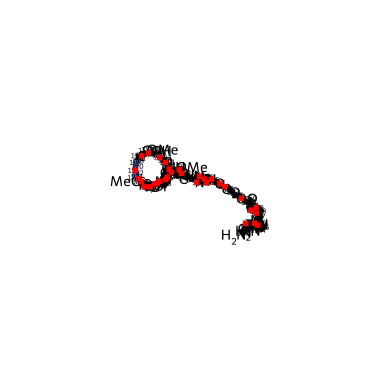 CO[C@H]1C[C@@H]2CC[C@@H](C)[C@@](O)(O2)C(=O)C(=O)N2CCCC[C@H]2C(=O)O[C@H]([C@H](N)C[C@@H]2CC[C@@H](OC(=O)NCc3cnc(N4CCN(CCOCCOCCOCCOCCC(=O)N5CCc6cc(Cn7nc(-c8ccc9oc(N)nc9c8)c8c(N)ccnc87)ccc6C5)CC4)nc3)[C@H](OC)C2)CC(=O)[C@H](C)/C=C(\C)[C@@H](O)[C@@H](OC)C(=O)[C@H](C)C[C@H](C)/C=C/C=C/C=C/1C